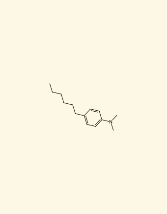 CCCCCCc1ccc(N(C)C)cc1